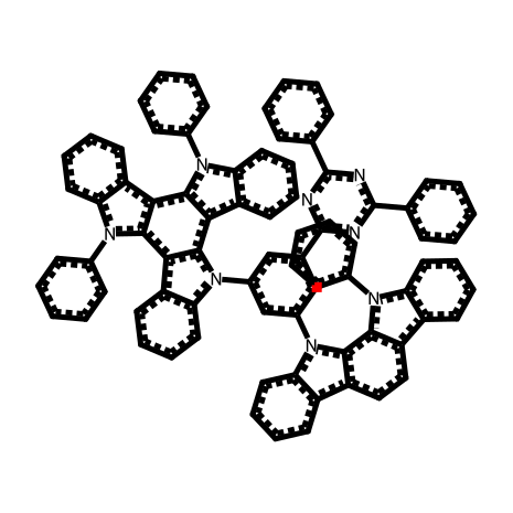 c1ccc(-c2nc(-c3ccccc3)nc(-c3cc(-n4c5ccccc5c5c6c(c7ccccc7n6-c6ccccc6)c6c(c7ccccc7n6-c6ccccc6)c54)cc(-n4c5ccccc5c5ccc6c7ccccc7n(-c7ccccc7)c6c54)c3)n2)cc1